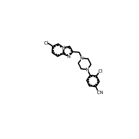 N#Cc1ccc(N2CCN(Cc3cn4cc(Cl)ccc4n3)CC2)c(Cl)c1